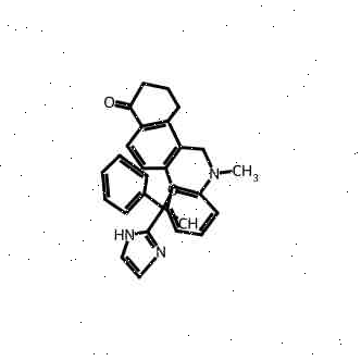 CN(Cc1c(O[C@@](C)(c2ccccc2)c2ncc[nH]2)ccc2c1CCCC2=O)c1ccccc1